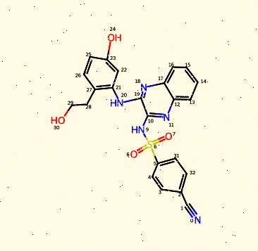 N#Cc1ccc(S(=O)(=O)Nc2nc3ccccc3nc2Nc2cc(O)ccc2CCO)cc1